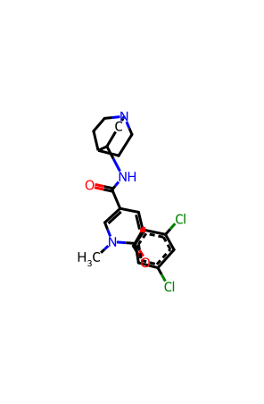 CN(/C=C(\C=C/C=O)C(=O)NC1CN2CCC1CC2)c1cc(Cl)cc(Cl)c1